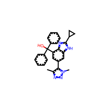 Cc1nnn(C)c1-c1cc(C(O)(c2ccccc2)c2ccccc2)c2nc(C3CC3)[nH]c2c1